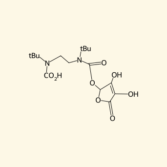 CC(C)(C)N(CCN(C(=O)OC1OC(=O)C(O)=C1O)C(C)(C)C)C(=O)O